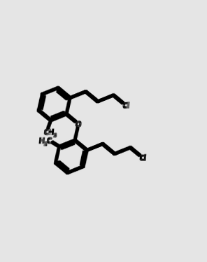 Cc1cccc(CCCCl)c1Oc1c(C)cccc1CCCCl